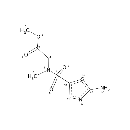 COC(=O)CN(C)S(=O)(=O)c1cnc(N)s1